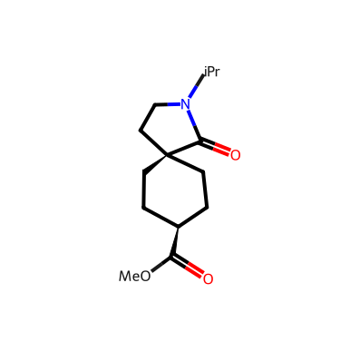 COC(=O)[C@H]1CC[C@]2(CCN(C(C)C)C2=O)CC1